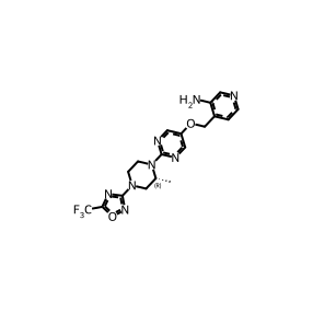 C[C@@H]1CN(c2noc(C(F)(F)F)n2)CCN1c1ncc(OCc2ccncc2N)cn1